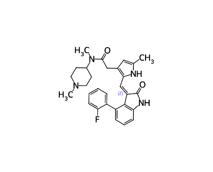 Cc1cc(CC(=O)N(C)C2CCN(C)CC2)c(/C=C2\C(=O)Nc3cccc(-c4ccccc4F)c32)[nH]1